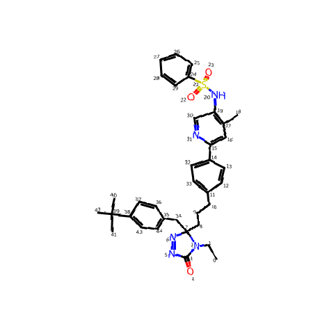 CCN1C(=O)N=NC1(CCCc1ccc(-c2cc(C)c(NS(=O)(=O)c3ccccc3)cn2)cc1)Cc1ccc(C(C)(C)C)cc1